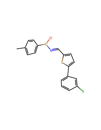 Cc1ccc([S+]([O-])N=Cc2ccc(-c3cccc(F)c3)s2)cc1